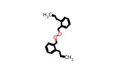 C=CCc1ccccc1COOCc1ccccc1CC=C